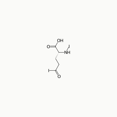 O=C(I)CC[C@@H](NI)C(=O)O